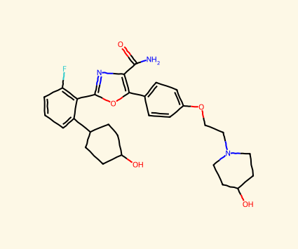 NC(=O)c1nc(-c2c(F)cccc2C2CCC(O)CC2)oc1-c1ccc(OCCN2CCC(O)CC2)cc1